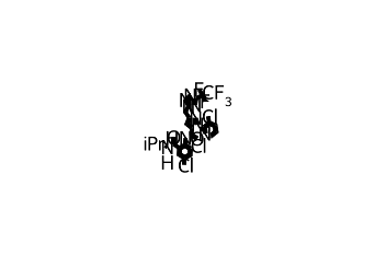 CC(C)NC(=O)c1cc(Cl)cc(Cl)c1NC(=O)c1cc(Cn2nnc(C(F)(F)C(F)(F)F)n2)nn1-c1ncccc1Cl